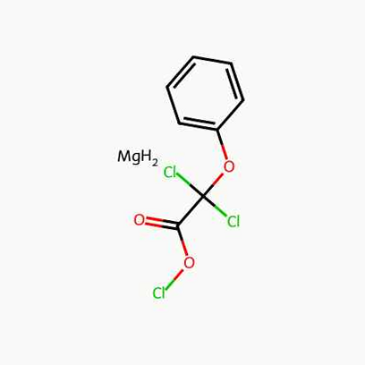 O=C(OCl)C(Cl)(Cl)Oc1ccccc1.[MgH2]